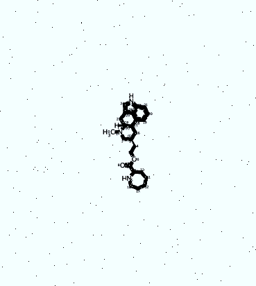 CN1C[C@H](CCOC(=O)C2CCCCCN2)CC2c3cccc4[nH]cc(c34)C[C@H]21